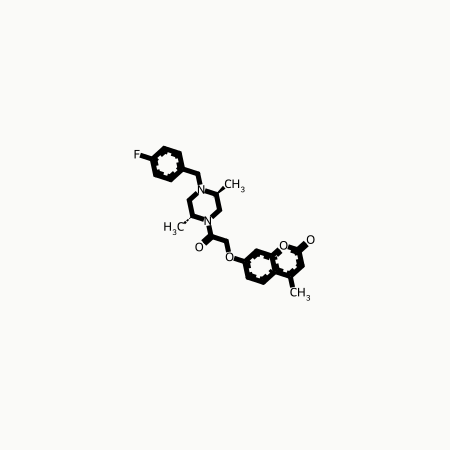 Cc1cc(=O)oc2cc(OCC(=O)N3C[C@H](C)N(Cc4ccc(F)cc4)C[C@H]3C)ccc12